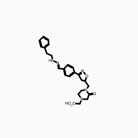 O=C(O)CN1CCN(CC2CC(c3ccc(C=NNCCc4ccccc4)cc3)=NO2)C(=O)C1